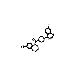 O=C(C1CCN(c2ncnc3cc(Cl)ccc23)CC1)N1CCCCc2cc(Cl)ccc21